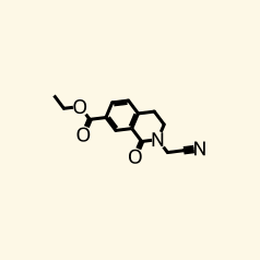 CCOC(=O)c1ccc2c(c1)C(=O)N(CC#N)CC2